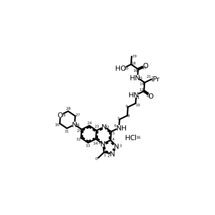 Cc1nnc2c(NCCCCNC(=O)C(NC(=O)C(C)O)C(C)C)nc3cc(N4CCOCC4)ccc3n12.Cl